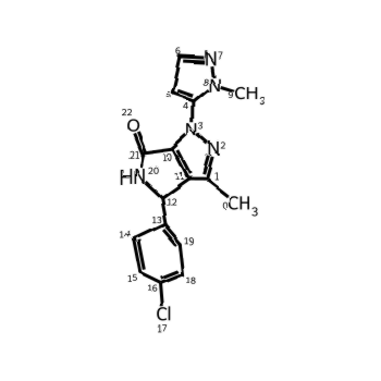 Cc1nn(-c2ccnn2C)c2c1C(c1ccc(Cl)cc1)NC2=O